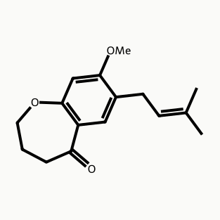 COc1cc2c(cc1CC=C(C)C)C(=O)CCCO2